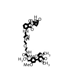 COc1cc(-c2cn(C)c(=O)c3c2ccn3C)cc(OC)c1CN(C)CC(=O)NCCOCCn1cc(CNc2cccc3c2C(=O)N(C24CC(C2)C(=O)NC4=O)C3=O)nn1